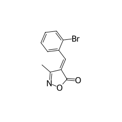 CC1=NOC(=O)C1=Cc1ccccc1Br